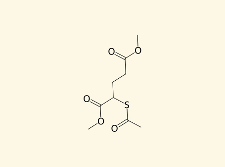 COC(=O)CCC(SC(C)=O)C(=O)OC